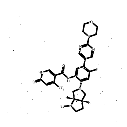 CCN1CC[C@H]2CN(c3cc(F)c(-c4cnc(N5CCOCC5)nc4)cc3NC(=O)c3c[nH]c(=O)cc3C(F)(F)F)C[C@H]21